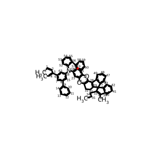 C/C=C\C(=C/C)c1cc(-c2ccccc2)cc(N(c2ccc3c(c2)OC2=C(O3)C3=C(CC2)C2(C(CCC)=C(C)c4ccccc42)c2ccccc23)c2ccccc2-c2ccccc2)c1